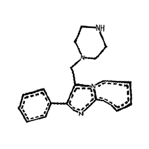 c1ccc(-c2nc3ccccn3c2CN2CCNCC2)cc1